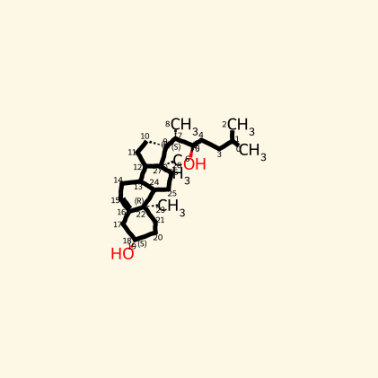 CC(C)CC[C@@H](O)[C@@H](C)[C@H]1CCC2C3CC=C4C[C@@H](O)CC[C@]4(C)C3CC[C@@]21C